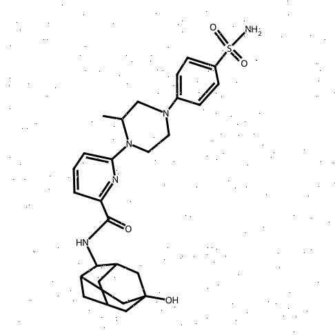 CC1CN(c2ccc(S(N)(=O)=O)cc2)CCN1c1cccc(C(=O)NC2C3CC4CC2CC(O)(C4)C3)n1